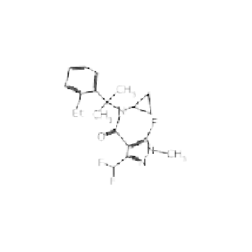 CCc1ccccc1C(C)(C)N(C(=O)c1c(C(F)F)nn(C)c1F)C1CC1